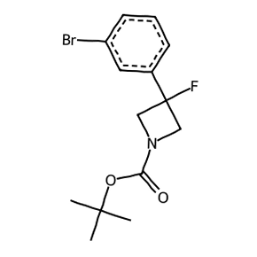 CC(C)(C)OC(=O)N1CC(F)(c2cccc(Br)c2)C1